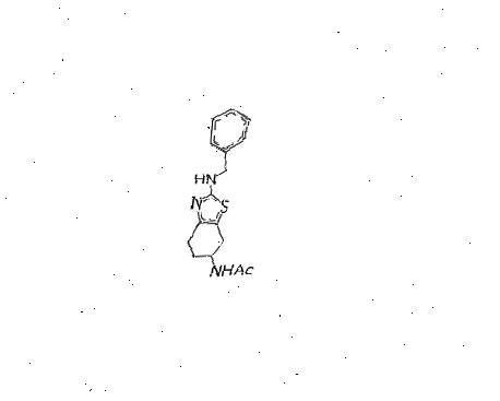 CC(=O)NC1CCc2nc(NCc3ccccc3)sc2C1